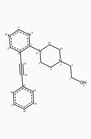 OCCN1CCN(c2ncncc2C#Cc2ccccc2)CC1